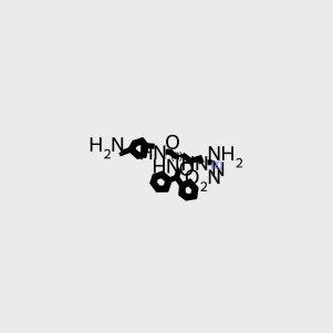 NCc1ccc(CNC(=O)[C@@H](CCCN/C(N)=N\[N+](=O)[O-])NC(=O)C(c2ccccc2)c2ccccc2)cc1